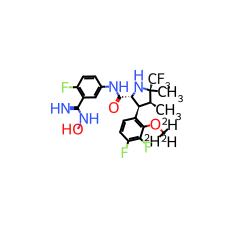 [2H]C([2H])([2H])Oc1c([C@H]2[C@H](C(=O)Nc3ccc(F)c(C(=N)NO)c3)N[C@@](C)(C(F)(F)F)[C@H]2C)ccc(F)c1F